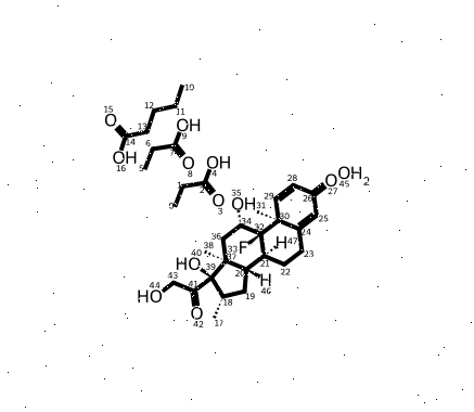 CCC(=O)O.CCC(=O)O.CCCCC(=O)O.C[C@H]1C[C@H]2[C@@H]3CCC4=CC(=O)C=C[C@]4(C)[C@@]3(F)[C@@H](O)C[C@]2(C)[C@@]1(O)C(=O)CO.O